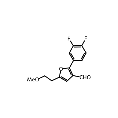 COCCc1cc(C=O)c(-c2ccc(F)c(F)c2)o1